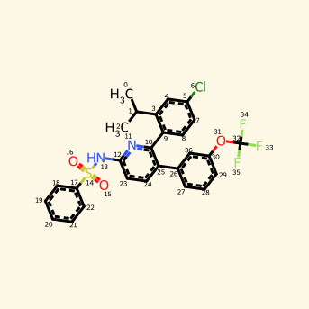 CC(C)c1cc(Cl)ccc1-c1nc(NS(=O)(=O)c2ccccc2)ccc1-c1cccc(OC(F)(F)F)c1